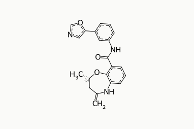 C=C1C[C@H](C)Oc2c(cccc2C(=O)Nc2cccc(-c3cnco3)c2)N1